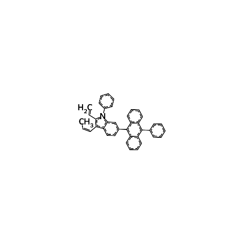 C=Cc1c(/C=C\C)c2ccc(-c3c4ccccc4c(-c4ccccc4)c4ccccc34)cc2n1-c1ccccc1